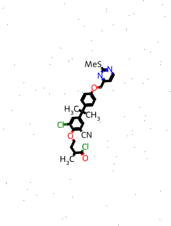 CSc1nccc(COc2ccc(C(C)(C)c3cc(Cl)c(OCCC(C)C(=O)Cl)c(C#N)c3)cc2)n1